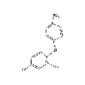 O=[N+]([O-])c1ccc(Oc2ccc(Cl)cc2C(F)(F)F)cc1